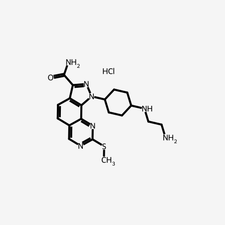 CSc1ncc2ccc3c(C(N)=O)nn(C4CCC(NCCN)CC4)c3c2n1.Cl